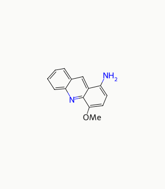 COc1ccc(N)c2cc3ccccc3nc12